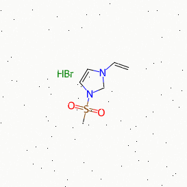 Br.C=CN1C=CN(S(C)(=O)=O)C1